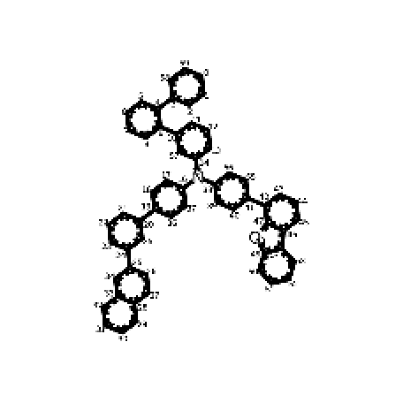 c1ccc(-c2ccccc2-c2cccc(N(c3ccc(-c4cccc(-c5ccc6ccccc6c5)c4)cc3)c3ccc(-c4cccc5c4oc4ccccc45)cc3)c2)cc1